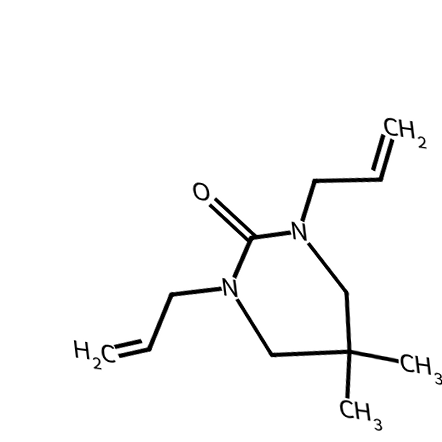 C=CCN1CC(C)(C)CN(CC=C)C1=O